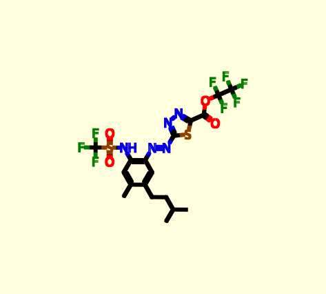 Cc1cc(NS(=O)(=O)C(F)(F)F)c(N=Nc2nnc(C(=O)OC(F)(F)C(F)(F)F)s2)cc1CCC(C)C